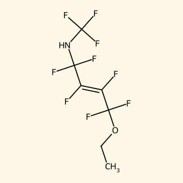 CCOC(F)(F)/C(F)=C(\F)C(F)(F)NC(F)(F)F